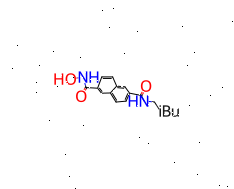 CCC(C)CNC(=O)c1ccc2cc(C(=O)NO)ccc2c1